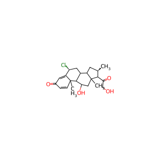 C[C@@H]1CC2C3C[C@H](Cl)C4=CC(=O)C=CC4(C)C3C(O)CC2(C)C1C(=O)CO